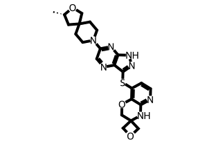 C[C@H]1CC2(CCN(c3cnc4c(Sc5ccnc6c5OCC5(COC5)N6)n[nH]c4n3)CC2)CO1